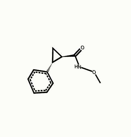 CONC(=O)[C@@H]1C[C@H]1c1ccccc1